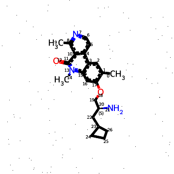 Cc1cc2c3ccnc(C)c3c(=O)n(C)c2cc1OC[C@@H](N)CC1CCC1